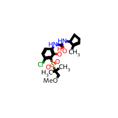 COCC(C)(C)S(=O)(=O)c1c(Cl)ccc(NC(=O)NC2CCC=C2C)c1O